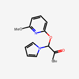 COc1cccc(OC(C(=O)C(C)(C)C)n2cccc2)n1